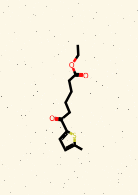 CCOC(=O)CCCCC(=O)c1ccc(C)s1